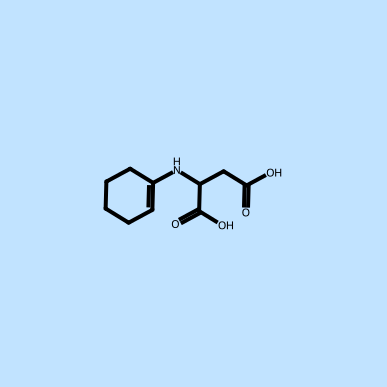 O=C(O)CC(NC1=CCCCC1)C(=O)O